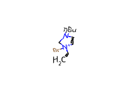 C=C[N+]1(Br)C=CN(CCCC)C1